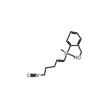 [C-]#[N+]CCC/C=C/[Si](C)(C)c1ccccc1CO